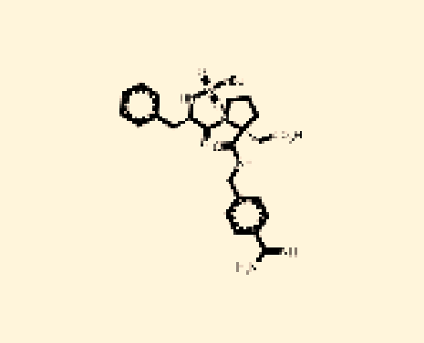 CCCCS(=O)(=O)N[C@H](Cc1ccccc1)C(=O)N1CCC[C@@]1(CC(=O)O)C(=O)NCc1ccc(C(=N)N)cc1